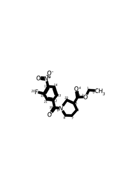 CCOC(=O)C1CCCN(C(=O)c2ccc([N+](=O)[O-])c(F)c2)C1